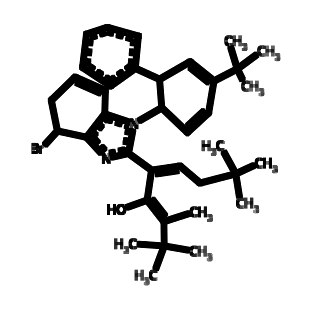 C/C(=C(O)\C(=C/CC(C)(C)C)c1nc2c(n1C1C=CC(C(C)(C)C)=CC1c1ccccc1)C=CCC2Br)C(C)(C)C